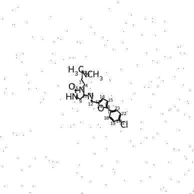 CN(C)CCN1C(=O)NCC1N=Cc1ccc(-c2ccc(Cl)cc2)o1